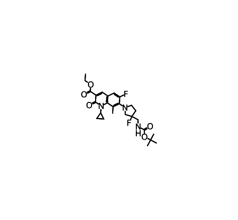 CCOC(=O)c1cc2cc(F)c(N3CCC(F)(CNC(=O)OC(C)(C)C)C3)c(C)c2n(C2CC2)c1=O